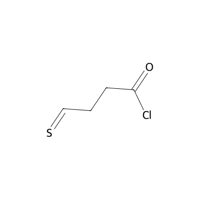 O=C(Cl)CCC=S